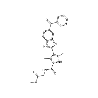 COC(=O)CNC(=O)c1[nH]c(C)c(-c2nc3cc(C(=O)c4ccccc4)ccc3[nH]2)c1C